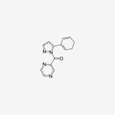 O=C(c1cnccn1)n1nccc1C1=CCCC=C1